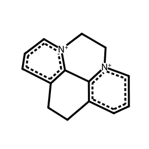 c1cc2c3[n+](c1)CC[n+]1cccc(c1-3)CC2